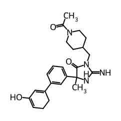 CC(=O)N1CCC(CN2C(=N)NC(C)(c3cccc(C4=CC(O)=CCC4)c3)C2=O)CC1